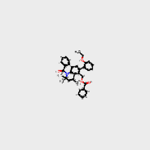 CCOc1ccccc1-c1ccc2c(c1COC(=O)c1ccccc1)C(C)=CC(C)(C)N2C(=O)c1ccccc1